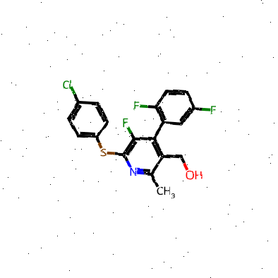 Cc1nc(Sc2ccc(Cl)cc2)c(F)c(-c2cc(F)ccc2F)c1CO